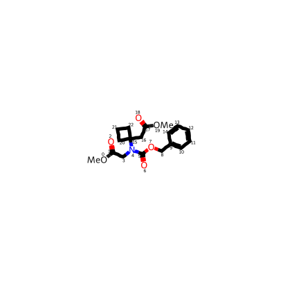 COC(=O)CN(C(=O)OCc1ccccc1)C1(CC(=O)OC)CCC1